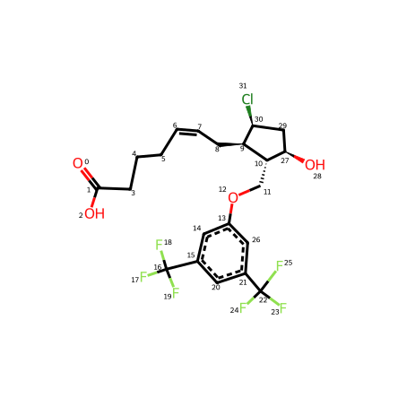 O=C(O)CCC/C=C\C[C@@H]1[C@@H](COc2cc(C(F)(F)F)cc(C(F)(F)F)c2)[C@H](O)C[C@@H]1Cl